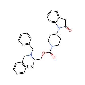 C[C@@H](COC(=O)N1CCC(N2C(=O)Cc3ccccc32)CC1)N(Cc1ccccc1)Cc1ccccc1